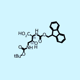 CC(C)(C)OC(=O)NC[C@H](O)[C@H](NC(=O)OCC1c2ccccc2-c2ccccc21)C(=O)O